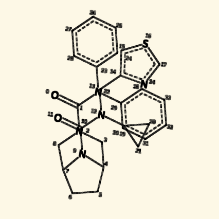 O=C(N1CC2CCC(C1)N2C(=O)N(Cc1cscn1)C1CC1)N(c1ccccc1)c1ccccc1